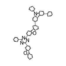 c1ccc(-c2ccc3c(c2)c2cc(-c4ccc5oc6cc(-c7nc(-c8ccccc8)nc(-c8ccc9c(c8)oc8ccccc89)n7)ccc6c5c4)ccc2n3-c2ccccc2)cc1